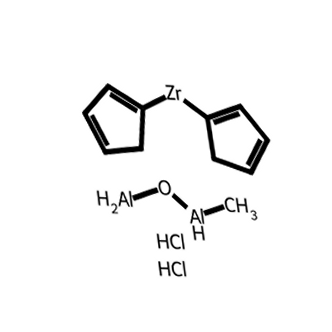 C1=CC[C]([Zr][C]2=CC=CC2)=C1.Cl.Cl.[CH3][AlH][O][AlH2]